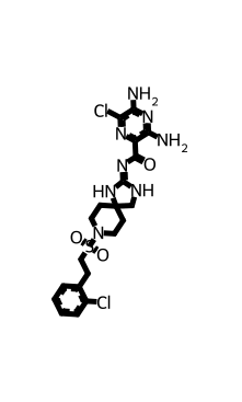 Nc1nc(N)c(C(=O)/N=C2\NCC3(CCN(S(=O)(=O)CCc4ccccc4Cl)CC3)N2)nc1Cl